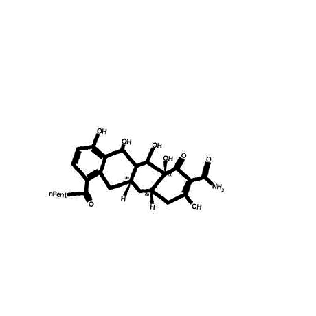 CCCCCC(=O)c1ccc(O)c2c1C[C@H]1C[C@H]3CC(O)=C(C(N)=O)C(=O)[C@@]3(O)C(O)C1C2O